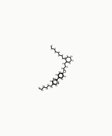 CCCCCCCCC1CCCCC1CCCOc1ccc(-c2ncc(CCCCCC)cn2)cc1